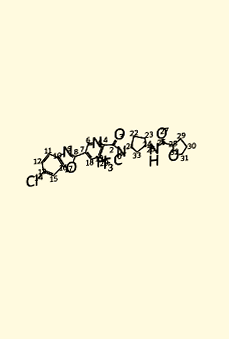 CN(C(=O)c1ncc(-c2nc3ccc(Cl)cc3o2)cc1F)[C@@H]1CC[C@H](NC(=O)C2CCCO2)C1